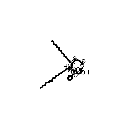 CCCCCCCCCCCCC/C=C/[C@H]1OC(=O)CCC(=O)OCC2O[C@@H](OC[C@@H]1NC(=O)CCCCCCCCCCCCCCCCC)C(OC(=O)c1ccccc1)[C@@H](C)[C@@H]2O